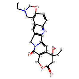 CCN1COc2ccc3nc4c(cc3c2C1)Cn1c-4cc2c(c1=O)COC(=O)CC2(O)CC